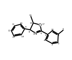 Cc1cccc(C2=NC(c3ccccc3)C(C)O2)c1